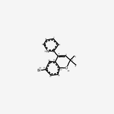 CC1(C)C=C(c2ccccn2)c2cc(Br)ccc2O1